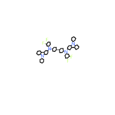 Fc1ccc(N(c2ccc(-c3ccc(N(c4ccc(F)c(F)c4)c4ccc5c(c4)c4ccccc4n5-c4ccccc4)cc3)cc2)c2ccc3c(c2)c2ccccc2n3-c2ccccc2)cc1F